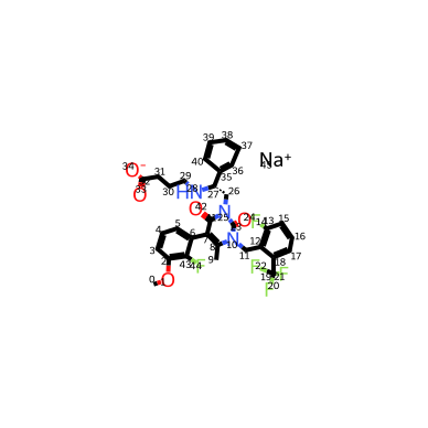 COc1cccc(-c2c(C)n(Cc3c(F)cccc3C(F)(F)F)c(=O)n(C[C@H](NCCCC(=O)[O-])c3ccccc3)c2=O)c1F.[Na+]